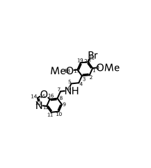 COc1cc(CCNCc2cccc3ncoc23)c(OC)cc1Br